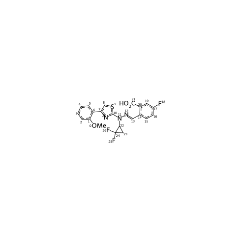 COc1ccccc1-c1csc(N(/N=C/c2ccc(F)cc2C(=O)O)C2CC2(F)F)n1